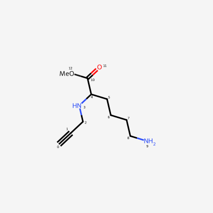 C#CCNC(CCCCN)C(=O)OC